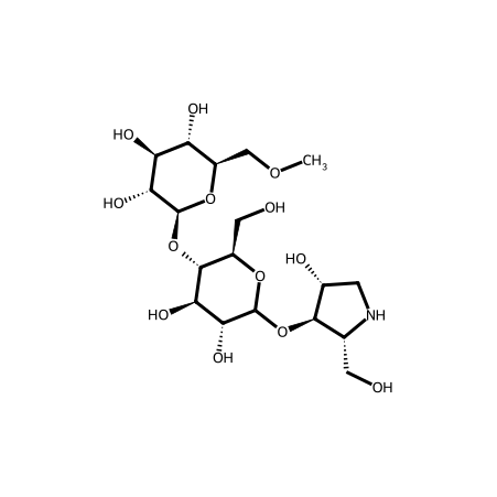 COC[C@H]1O[C@@H](O[C@H]2[C@H](O)[C@@H](O)C(O[C@H]3[C@H](O)CN[C@@H]3CO)O[C@@H]2CO)[C@H](O)[C@@H](O)[C@@H]1O